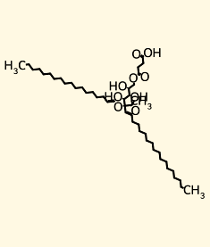 CCCCCCCCCCCCCCCCC=CO[C@@](C=CCCCCCCCCCCCCCCCC)(C(C)=O)[C@@H](O)[C@H](O)[C@H](O)COC(=O)CCC(=O)O